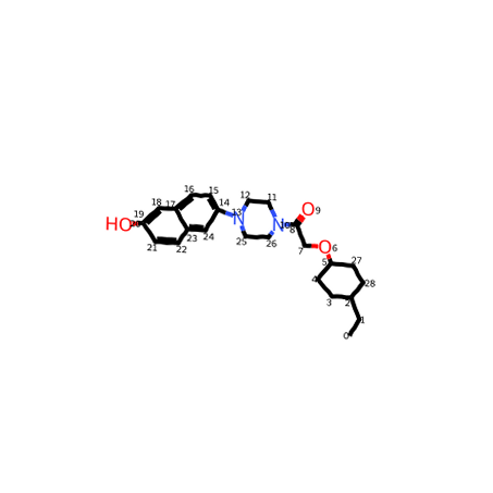 CCC1CCC(OCC(=O)N2CCN(c3ccc4cc(O)ccc4c3)CC2)CC1